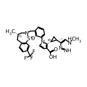 CN/C=C(\N=N)C1C[C@H]1c1c(C(=O)O)ccn1-c1cccc(CN2C[C@@H](C)Cc3ccc(C(F)(F)F)cc3[S+]2[O-])c1